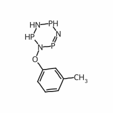 Cc1cccc(On2pn[pH][nH][pH]2)c1